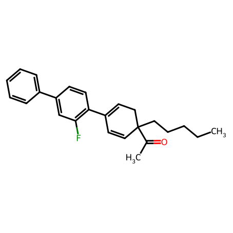 CCCCCC1(C(C)=O)C=CC(c2ccc(-c3ccccc3)cc2F)=CC1